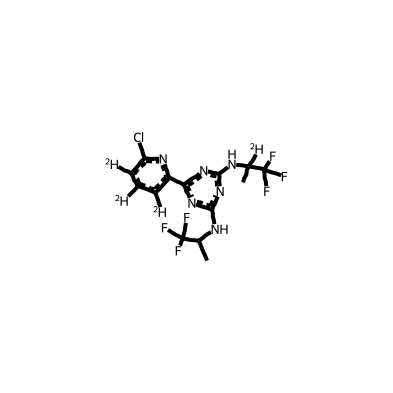 [2H]c1c(Cl)nc(-c2nc(NC(C)C(F)(F)F)nc(NC([2H])(C)C(F)(F)F)n2)c([2H])c1[2H]